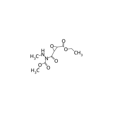 CCOC(=O)C1OC1C(=O)N(NC)C(=O)OC